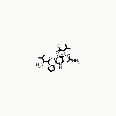 CC(C)[C@H](N)C(=O)N1CCC[C@H]1C(=O)N[C@@H](CC(N)=O)C(=O)N[C@H](C(=O)O)C(C)C